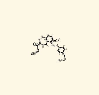 COCc1ccc(CSc2c(Cl)ccc3c2CCN(C(=O)OC(C)(C)C)CC3)cc1